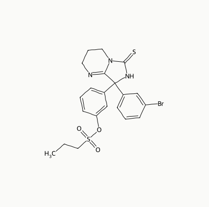 CCCS(=O)(=O)Oc1cccc(C2(c3cccc(Br)c3)NC(=S)N3CCCN=C32)c1